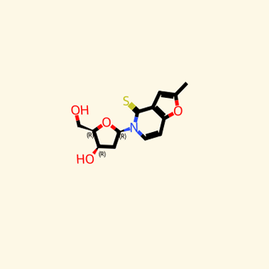 Cc1cc2c(=S)n([C@H]3C[C@@H](O)[C@@H](CO)O3)ccc2o1